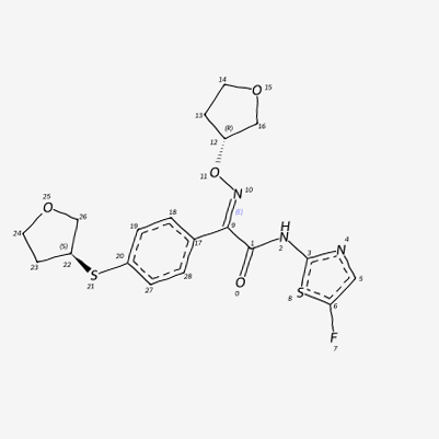 O=C(Nc1ncc(F)s1)/C(=N/O[C@@H]1CCOC1)c1ccc(S[C@H]2CCOC2)cc1